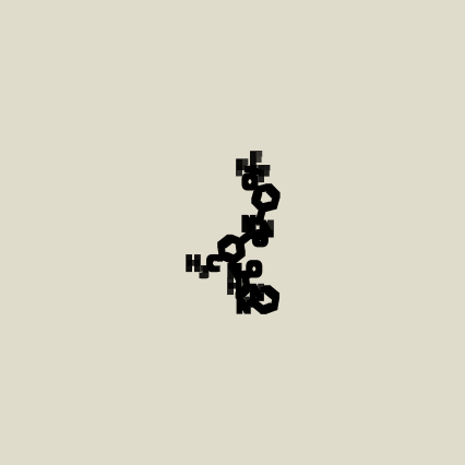 Cc1ccc(-c2nc(-c3cccc(OC(F)(F)F)c3)no2)cc1NC(=O)c1cnc2ccccn12